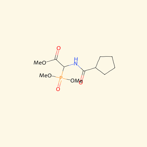 COC(=O)C(NC(=O)C1CCCC1)P(=O)(OC)OC